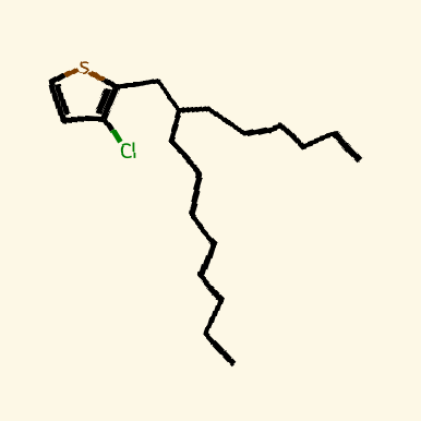 CCCCCCCCC(CCCCCC)Cc1sccc1Cl